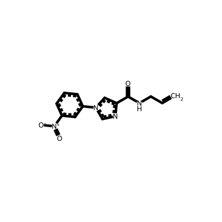 C=CCNC(=O)c1cn(-c2cccc([N+](=O)[O-])c2)cn1